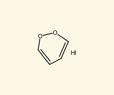 C1=COOC=C1.I